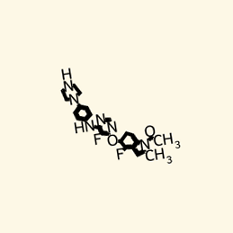 CC(=O)n1c(C)cc2c1=CCC(Oc1ncnc(Nc3ccc(N4CCNCC4)cc3)c1F)C=2F